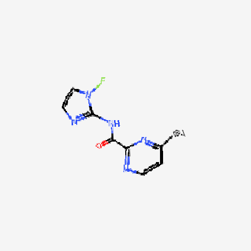 CC(C)(C)c1ccnc(C(=O)Nc2nccn2F)n1